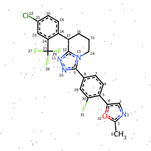 Cc1ncc(-c2ccc(-c3nnc4n3CCCC4c3ccc(Cl)cc3C(F)(F)F)cc2F)o1